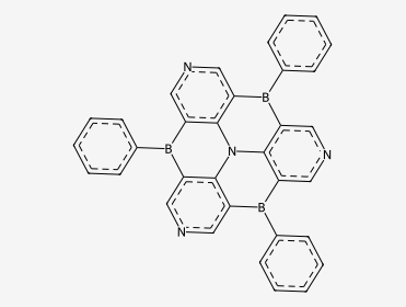 c1ccc(B2c3cncc4c3N3c5c2cncc5B(c2ccccc2)c2cncc(c23)B4c2ccccc2)cc1